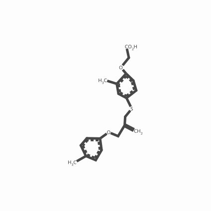 C=C(COc1ccc(C)cc1)CSc1ccc(OCC(=O)O)c(C)c1